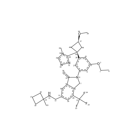 CCOc1cc(N2Cc3c(cc(CNC4(C)CCC4)cc3C(F)(F)F)C2=O)cc([C@]2(c3nncn3C)C[C@H](OC)C2)c1